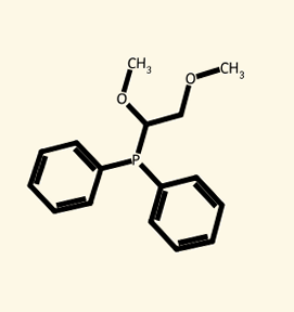 COCC(OC)P(c1ccccc1)c1ccccc1